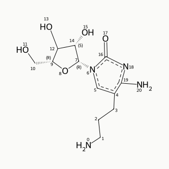 NCCCc1cn([C@@H]2O[C@H](CO)C(O)[C@@H]2O)c(=O)nc1N